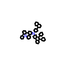 c1ccc(-c2c(-c3ccccc3)c3cc(N(c4ccc(-c5cccc6ccccc56)cc4)c4ccc(-c5cccc6c7ccccc7n(-c7ccccc7)c56)cc4)ccc3c3ccccc23)cc1